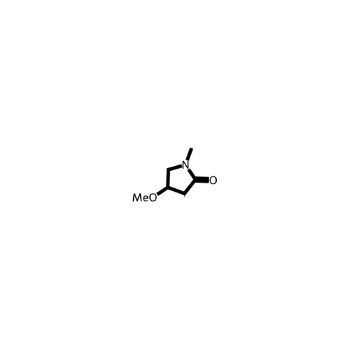 COC1[CH]C(=O)N(C)C1